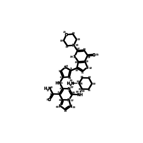 NC(=O)c1c(Nc2csc(-c3csc4c(=O)cc(N5CCOCC5)sc34)c2)nc(N[C@H]2CCCC[C@H]2N)n2ncnc12